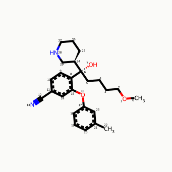 COCCCC[C@@](O)(c1ccc(C#N)cc1Oc1cccc(C)c1)[C@@H]1CCCNC1